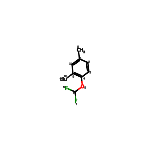 Cc1ccc(OC(F)F)c(C(C)(C)C)c1